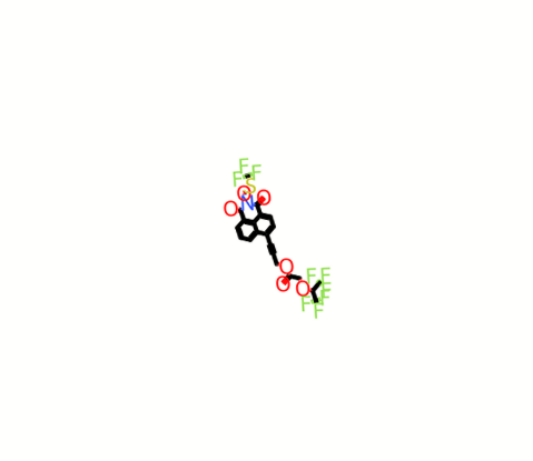 O=C(COC(C(F)(F)F)C(F)(F)F)OCC#Cc1ccc2c3c(cccc13)C(=O)N(OSC(F)(F)F)C2=O